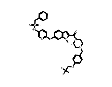 Cn1c(C(=O)N2CCN(Cc3ccc(OCC(F)(F)F)cc3)CC2)cc2ccc(Oc3ccc(NS(=O)(=O)Cc4ccccc4)cn3)cc21